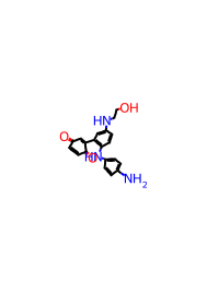 Nc1ccc(Nc2ccc(NCCO)cc2C2=CC(=O)C=CC2=O)cc1